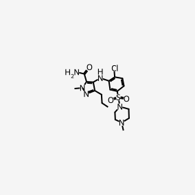 CCCc1nn(C)c(C(N)=O)c1Nc1cc(S(=O)(=O)N2CCN(C)CC2)ccc1Cl